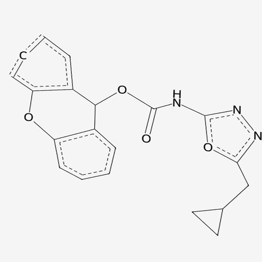 O=C(Nc1nnc(CC2CC2)o1)OC1c2ccccc2Oc2ccccc21